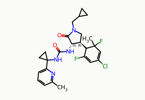 Cc1cccc(C2(NC(=O)N[C@@H]3C(=O)N(CC4CC4)C[C@H]3C3C(F)=CC(Cl)=CC3(C)F)CC2)n1